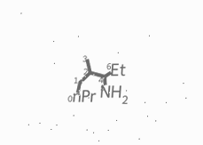 CCCCC(C)C(N)CC